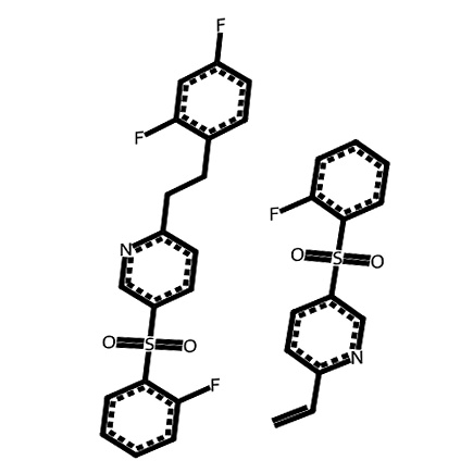 C=Cc1ccc(S(=O)(=O)c2ccccc2F)cn1.O=S(=O)(c1ccc(CCc2ccc(F)cc2F)nc1)c1ccccc1F